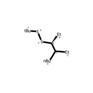 CCCCC(CC)[C@H](CC)SSC(C)(C)C